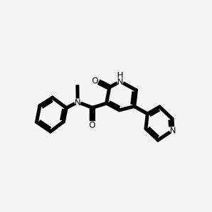 CN(C(=O)c1cc(-c2ccncc2)c[nH]c1=O)c1ccccc1